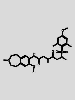 COc1cc(C)c(S(=O)(=O)N(C)CC(=O)NCC(=O)Nc2cc3c(cc2OC)CCN(C)CC3)c(C)c1